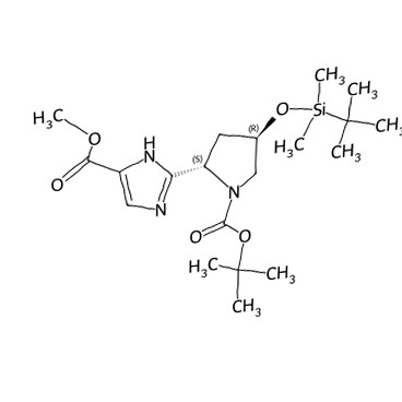 COC(=O)c1cnc([C@@H]2C[C@@H](O[Si](C)(C)C(C)(C)C)CN2C(=O)OC(C)(C)C)[nH]1